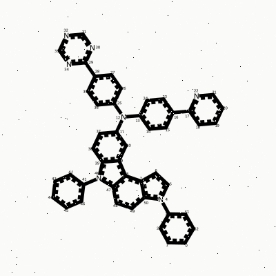 c1ccc(-n2ccc3c4c5cc(N(c6ccc(-c7ccccn7)cc6)c6ccc(-c7ncncn7)cc6)ccc5n(-c5ccccc5)c4ccc32)cc1